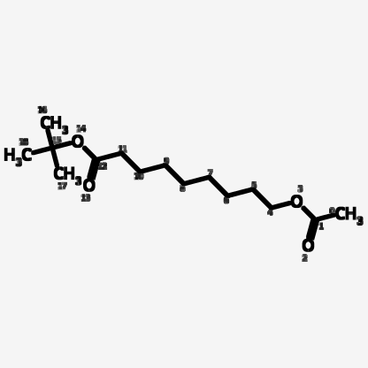 CC(=O)OCCCCCCCCC(=O)OC(C)(C)C